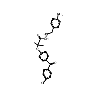 CC(C)(Oc1ccc(C(=O)c2ccc(Cl)cc2)cc1)C(=O)NNCc1ccc(N)cc1